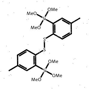 CO[Si](OC)(OC)c1cc(C)ccc1SSc1ccc(C)cc1[Si](OC)(OC)OC